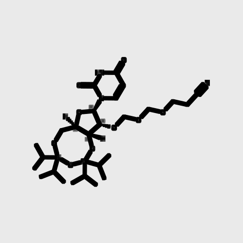 CC(C)[Si]1(C(C)C)OC[C@H]2O[C@@H](n3ccc(=O)[nH]c3=O)[C@H](OCOCOCCC#N)[C@@H]2O[Si](C(C)C)(C(C)C)O1